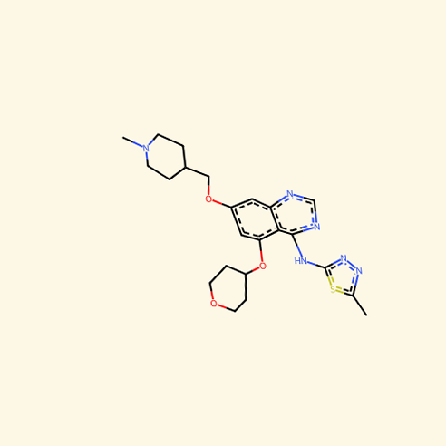 Cc1nnc(Nc2ncnc3cc(OCC4CCN(C)CC4)cc(OC4CCOCC4)c23)s1